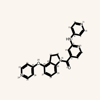 O=C(c1ccnc(Nc2ccncc2)c1)N1CCc2c(Oc3ccncc3)cccc21